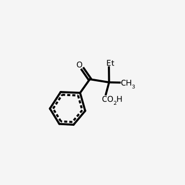 CCC(C)(C(=O)O)C(=O)c1ccccc1